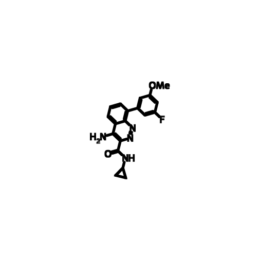 COc1cc(F)cc(-c2cccc3c(N)c(C(=O)NC4CC4)nnc23)c1